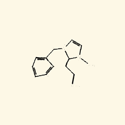 CCCCCCCCCCCCC1N(CCCC)C=CN1Cc1ccccc1